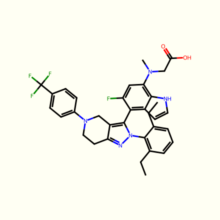 CCc1cccc(CC)c1-n1nc2c(c1-c1c(F)cc(N(C)CC(=O)O)c3[nH]ccc13)CN(c1ccc(C(F)(F)F)cc1)CC2